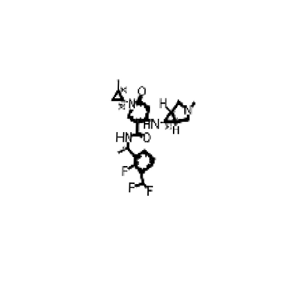 C[C@@H]1C[C@H]1n1cc(C(=O)N[C@H](C)c2cccc(C(F)F)c2F)c(N[C@@H]2[C@@H]3CN(C)C[C@@H]32)cc1=O